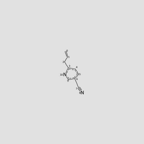 C=CCc1ccc(C#N)cn1